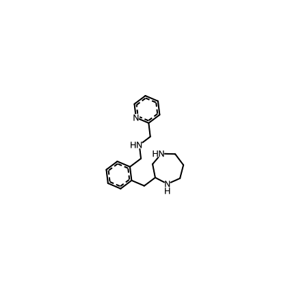 c1ccc(CNCc2ccccc2CC2CNCCCN2)nc1